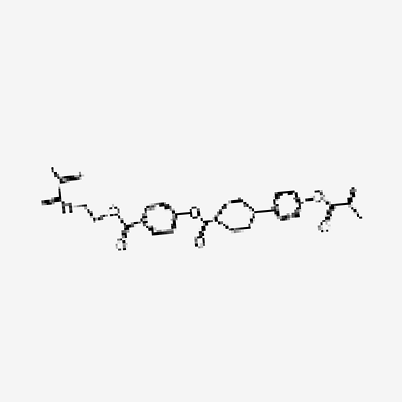 C=C(C)C(=C)OCCOC(=O)c1ccc(OC(=O)C2CCC(c3ccc(OC(=O)C(=C)C)cc3)CC2)cc1